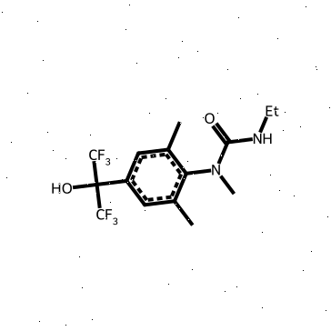 CCNC(=O)N(C)c1c(C)cc(C(O)(C(F)(F)F)C(F)(F)F)cc1C